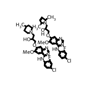 COc1cc2c(Nc3ccc(Cl)cc3F)ncnc2cc1OCC(O)CN1C(C)C=CC1C.COc1cc2c(Nc3ccc(Cl)cc3F)ncnc2cc1OCC(O)CN1CCC(C)CC1